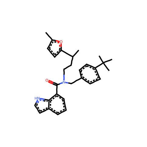 Cc1ccc(C(C)CCN(Cc2ccc(C(C)(C)C)cc2)C(=O)c2cccc3cc[nH]c23)o1